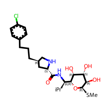 CS[C@H]1O[C@H]([C@H](NC(=O)[C@@H]2C[C@@H](CCCc3ccc(Cl)cc3)CN2)C(C)C)[C@H](O)[C@H](O)[C@H]1O